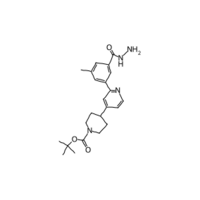 Cc1cc(C(=O)NN)cc(-c2cc(C3CCN(C(=O)OC(C)(C)C)CC3)ccn2)c1